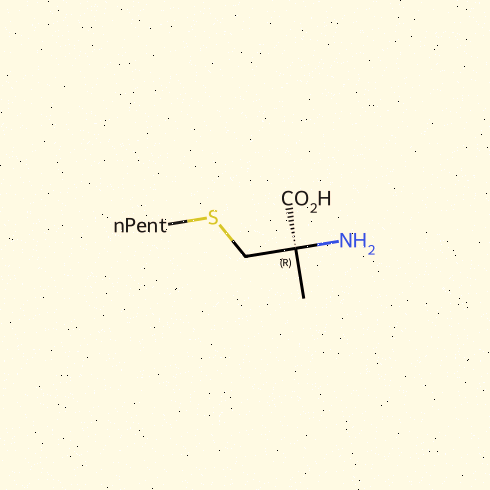 CCCCCSC[C@](C)(N)C(=O)O